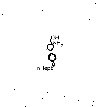 CCCCCCCOc1ccc([C@@H]2CC[C@@](N)(CO)C2)cc1